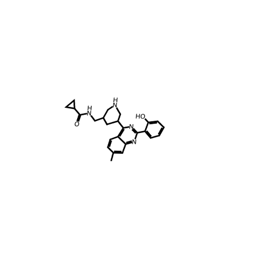 Cc1ccc2c(C3CNCC(CNC(=O)C4CC4)C3)nc(-c3ccccc3O)nc2c1